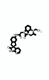 C=C1Cn2c(=O)n(CC(=O)Nc3ccc4c(c3)CC3(C4)C(=O)Nc4ncccc43)c3cccc(c32)N1CC(F)(F)F